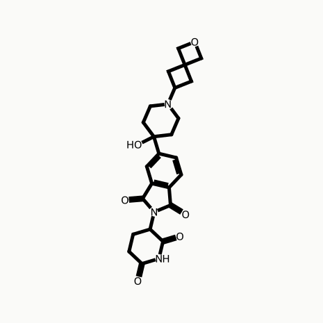 O=C1CCC(N2C(=O)c3ccc(C4(O)CCN(C5CC6(COC6)C5)CC4)cc3C2=O)C(=O)N1